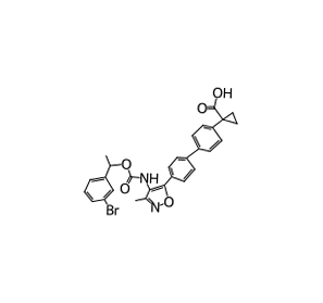 Cc1noc(-c2ccc(-c3ccc(C4(C(=O)O)CC4)cc3)cc2)c1NC(=O)OC(C)c1cccc(Br)c1